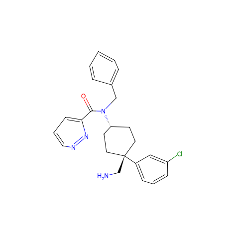 NC[C@]1(c2cccc(Cl)c2)CC[C@@H](N(Cc2ccccc2)C(=O)c2cccnn2)CC1